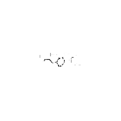 CCN(CC)c1ccc(C=CC(=O)O)c(O)c1C